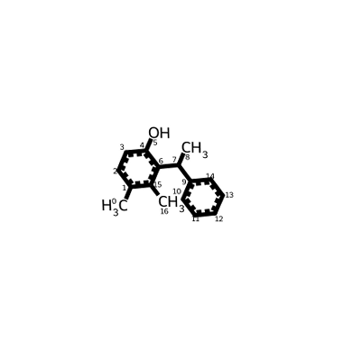 Cc1ccc(O)c(C(C)c2ccccc2)c1C